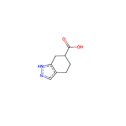 O=C(O)C1CCc2cn[nH]c2C1